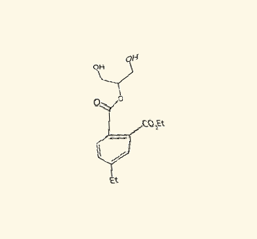 CCOC(=O)c1cc(CC)ccc1C(=O)OC(CO)CO